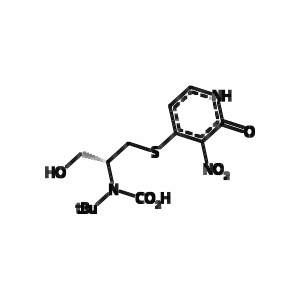 CC(C)(C)N(C(=O)O)[C@H](CO)CSc1cc[nH]c(=O)c1[N+](=O)[O-]